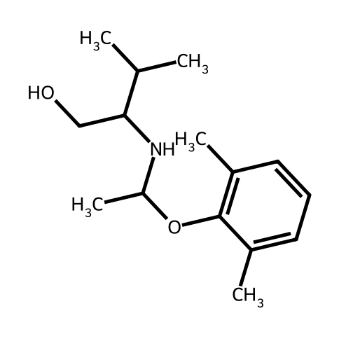 Cc1cccc(C)c1OC(C)NC(CO)C(C)C